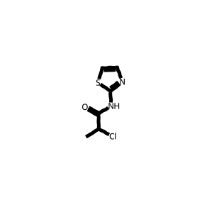 CC(Cl)C(=O)Nc1nccs1